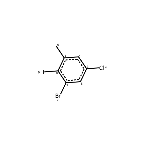 Cc1cc(Cl)cc(Br)c1I